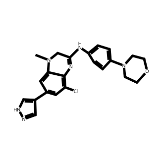 CN1CC(Nc2ccc(N3CCOCC3)cc2)=Nc2c(Cl)cc(-c3cn[nH]c3)cc21